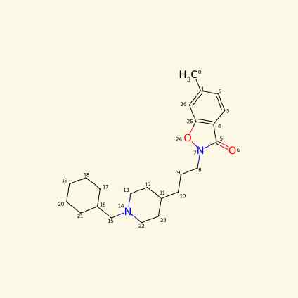 Cc1ccc2c(=O)n(CCCC3CCN(CC4CCCCC4)CC3)oc2c1